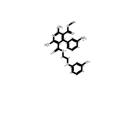 Cc1nc(C)c(C(=O)OC(C)C)c(-c2cccc([N+](=O)[O-])c2)c1C(=O)OCCOc1cccc(Cl)c1